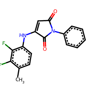 Cc1ccc(NC2=CC(=O)N(c3ccccc3)C2=O)c(F)c1F